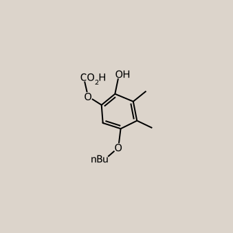 CCCCOc1cc(OC(=O)O)c(O)c(C)c1C